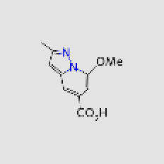 COc1cc(C(=O)O)cc2cc(C)nn12